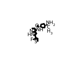 CC(N)[C@H]1CC[C@H](C(=O)Nc2ccnc3[nH]c(-c4ccsc4F)cc23)CC1